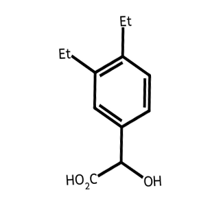 CCc1ccc(C(O)C(=O)O)cc1CC